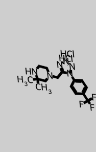 CC1(C)CN(Cc2nnnn2-c2ccc(C(F)(F)F)cc2)CCN1.Cl.Cl